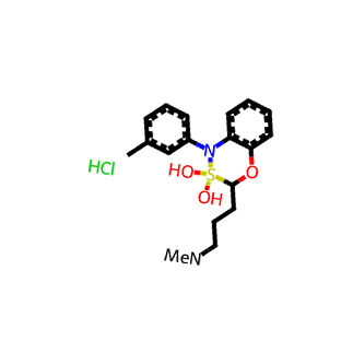 CNCCCC1Oc2ccccc2N(c2cccc(C)c2)S1(O)O.Cl